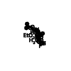 CCOC(=O)n1nc2c(c1N(C(=O)c1ccccc1)N1CCOC(NC(=O)CNCC(=O)OCC3c4ccccc4-c4ccccc43)C1)CN(S(=O)(=O)c1cc(F)cc(F)c1)C2(C)C